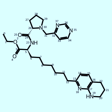 CCOC(=O)[C@H](CCCCCCCc1ccc2c(n1)NCCC2)NC(=O)[C@@H]1CCCN1Cc1ccncn1